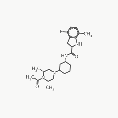 CC(=O)N1[C@@H](C)CN(C2CCC[C@@H](NC(=O)C3Cc4c(F)ccc(C)c4N3)C2)C[C@@H]1C